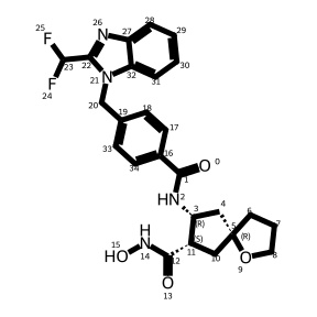 O=C(N[C@@H]1C[C@@]2(CCCO2)C[C@@H]1C(=O)NO)c1ccc(Cn2c(C(F)F)nc3ccccc32)cc1